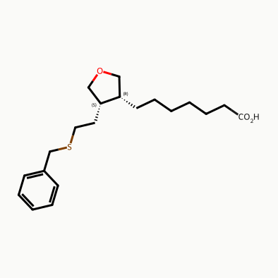 O=C(O)CCCCCC[C@H]1COC[C@H]1CCSCc1ccccc1